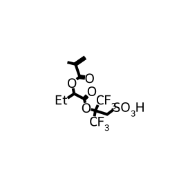 C=C(C)C(=O)OC(CC)C(=O)OC(CS(=O)(=O)O)(C(F)(F)F)C(F)(F)F